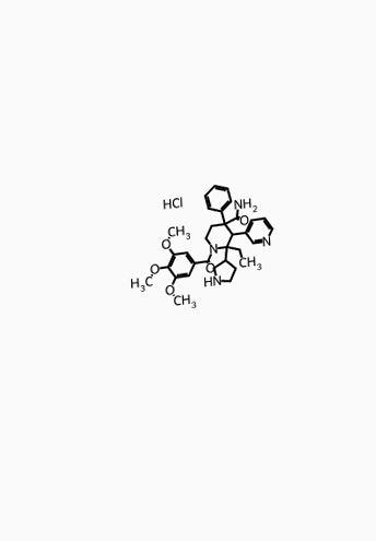 CCC1(C2CCNC2)C(c2cccnc2)C(C(N)=O)(c2ccccc2)CCN1C(=O)c1cc(OC)c(OC)c(OC)c1.Cl